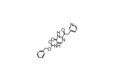 O=C(Nc1cnc(C(=O)Cc2cccnc2)[nH]c1=O)OCc1ccccc1